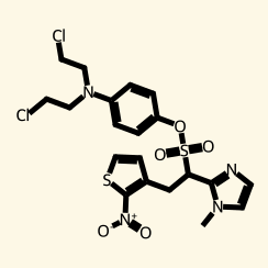 Cn1ccnc1C(Cc1ccsc1[N+](=O)[O-])S(=O)(=O)Oc1ccc(N(CCCl)CCCl)cc1